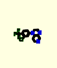 FC(F)(F)c1ccc(N2CC=NC3=C2CCN=C3)cc1Cl